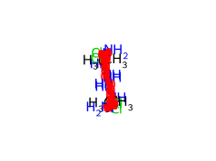 Cc1cc(S(=O)(=O)NCCOCCOCCNC(=O)NCCCCNC(=O)NCCOCCOCCNS(=O)(=O)c2cc(C)c(O[C@H]3c4cc(Cl)cc(Cl)c4C[C@@H]3N3CCC[C@@H](N)C3)cc2C)c(C)cc1O[C@H]1c2cc(Cl)cc(Cl)c2C[C@@H]1N1CCC[C@@H](N)C1